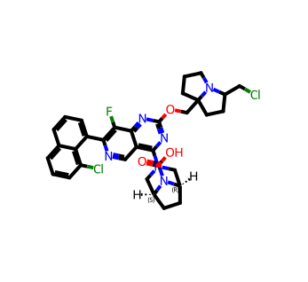 O=C(O)N1[C@@H]2CC[C@H]1CN(c1nc(OCC34CCCN3C(CCl)CC4)nc3c(F)c(-c4cccc5cccc(Cl)c45)ncc13)C2